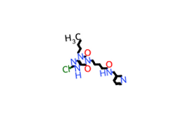 CCCCCn1c(=O)n(CCCCC(=O)NCc2cccnc2)c(=O)c2[nH]c(Cl)nc21